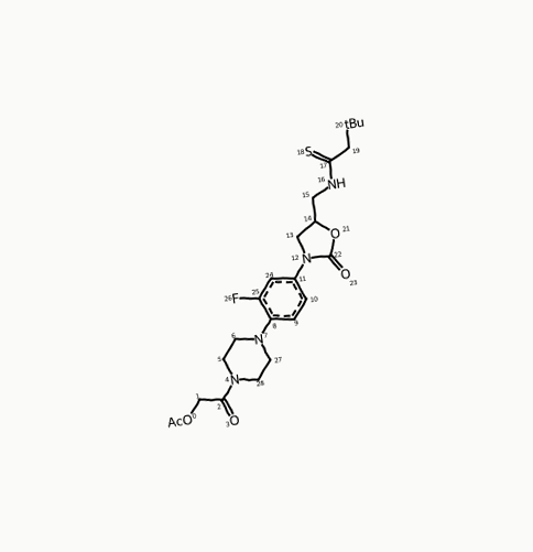 CC(=O)OCC(=O)N1CCN(c2ccc(N3CC(CNC(=S)CC(C)(C)C)OC3=O)cc2F)CC1